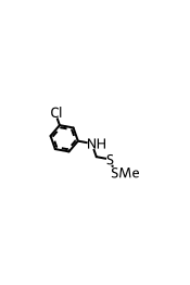 CSSCNc1cccc(Cl)c1